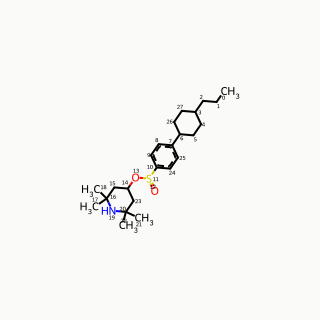 CCCC1CCC(c2ccc(S(=O)OC3CC(C)(C)NC(C)(C)C3)cc2)CC1